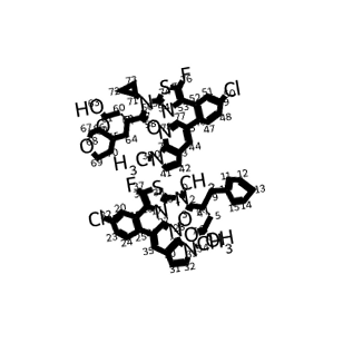 CN(C(=O)[C@@H](CC(=O)O)Cc1ccccc1)c1nc(-c2cc(Cl)ccc2-c2cnc3c(ccn3C)c2)c(F)s1.Cn1ccc2cc(-c3ccc(Cl)cc3-c3nc(N(C(=O)[C@@H](CC(=O)O)CC4CCOCC4)C4CC4)sc3F)cnc21